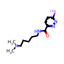 CN(C)CCCCCNC(=O)c1ccc([131I])nn1